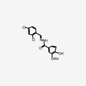 COc1cc(C(=O)N/N=C/c2ccc(Cl)cc2Cl)ccc1O